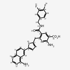 Nc1nc(Cc2ccc(-c3ccc4ncnc(N)c4c3)s2)c(C(=O)NCc2ccc(F)c(F)c2)cc1C(=O)O